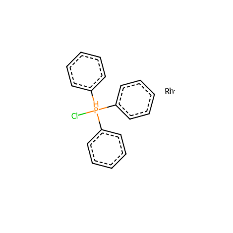 Cl[PH](c1ccccc1)(c1ccccc1)c1ccccc1.[Rh]